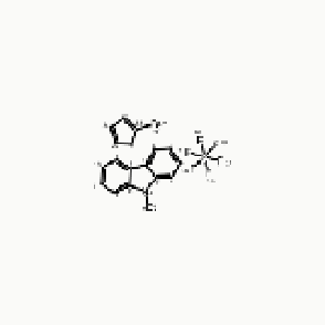 CCn1c2ccccc2c2ccccc21.F[P-](F)(F)(F)(F)F.[Fe+][C]1=CC=CC1